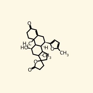 Cc1ccc([C@@H]2CC3=CC(=O)CCC3(C)C3[C@@H]2C2CCC4(CCC(=O)O4)[C@@]2(C)C[C@H]3O)o1